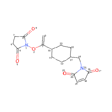 C=C(ON1C(=O)CCC1=O)C1CCC(CN2C(=O)C=CC2=O)CC1